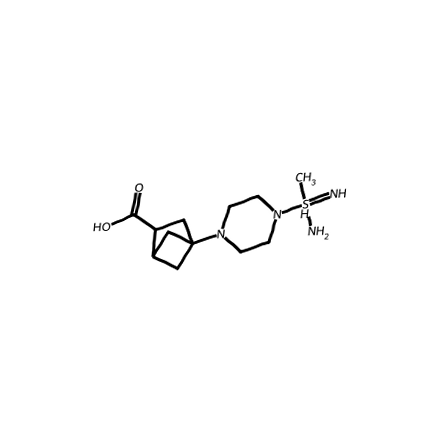 C[SH](=N)(N)N1CCN(C23CC(C2)C(C(=O)O)C3)CC1